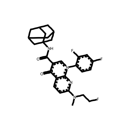 CN(CCF)c1ccc2c(=O)c(C(=O)NC34CC5CC(CC(C5)C3)C4)cn(-c3ccc(F)cc3F)c2n1